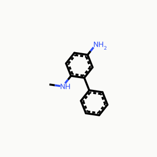 CNc1ccc(N)cc1-c1ccccc1